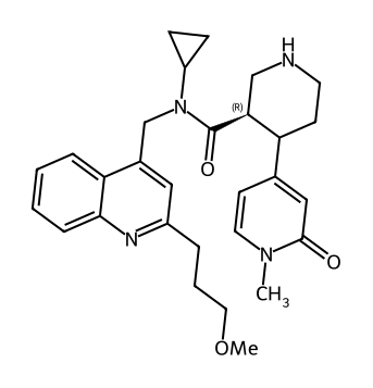 COCCCc1cc(CN(C(=O)[C@H]2CNCCC2c2ccn(C)c(=O)c2)C2CC2)c2ccccc2n1